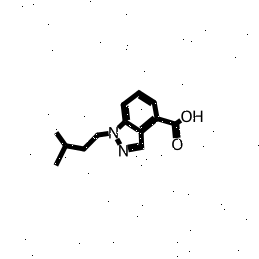 CC(C)CCn1ncc2c(C(=O)O)cccc21